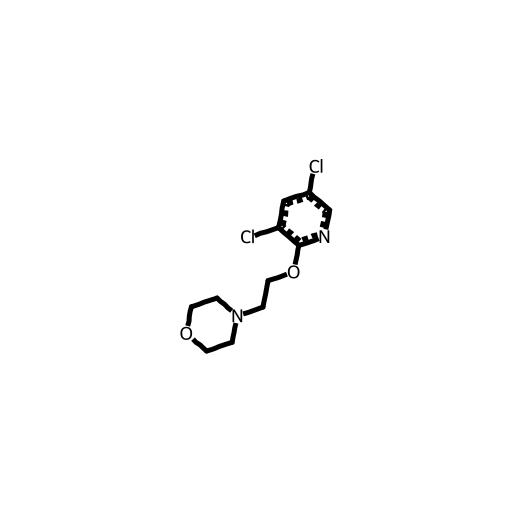 Clc1cnc(OCCN2CCOCC2)c(Cl)c1